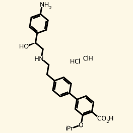 CC(C)Oc1cc(-c2ccc(CCNC[C@@H](O)c3ccc(N)cc3)cc2)ccc1C(=O)O.Cl.Cl